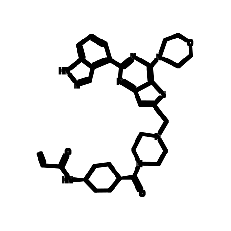 C=CC(=O)N[C@H]1CC[C@@H](C(=O)N2CCN(Cc3cc4nc(-c5cccc6[nH]ncc56)nc(N5CCOCC5)c4s3)CC2)CC1